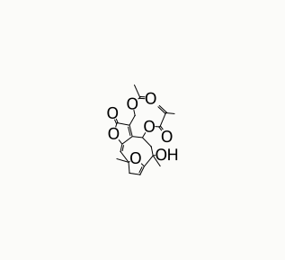 C=C(C)C(=O)OC1CC(C)(O)C2=CCC(C)(/C=C3/OC(=O)C(COC(C)=O)=C31)O2